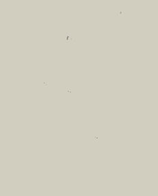 O=C(Nc1ccc(NS(=O)(=O)CCO)cc1N1CCC2(CC1)CC2)c1cc(N2CCCCC2)cs1